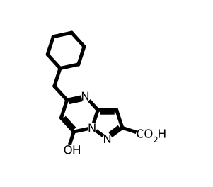 O=C(O)c1cc2nc(CC3CCCCC3)cc(O)n2n1